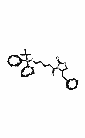 CC(C)(C)[Si](OCCCCC(=O)N1C(=O)OCC1Cc1ccccc1)(c1ccccc1)c1ccccc1